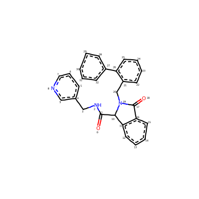 O=C(NCc1cccnc1)C1c2ccccc2C(=O)N1Cc1ccccc1-c1ccccc1